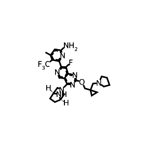 Cc1cc(N)nc(-c2ncc3c(N4C[C@H]5CC[C@@H](C4)N5)nc(OCC4(CN5CCCC5)CC4)nc3c2F)c1C(F)(F)F